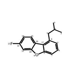 CC(C)Cc1cccc2oc3cc(F)ccc3c12